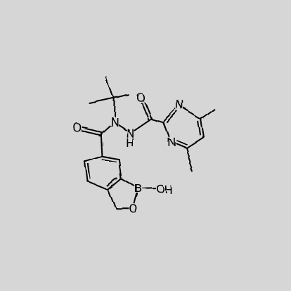 Cc1cc(C)nc(C(=O)NN(C(=O)c2ccc3c(c2)B(O)OC3)C(C)(C)C)n1